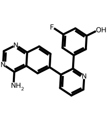 Nc1ncnc2ccc(-c3cccnc3-c3cc(O)cc(F)c3)cc12